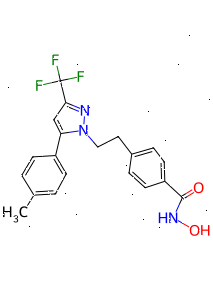 Cc1ccc(-c2cc(C(F)(F)F)nn2CCc2ccc(C(=O)NO)cc2)cc1